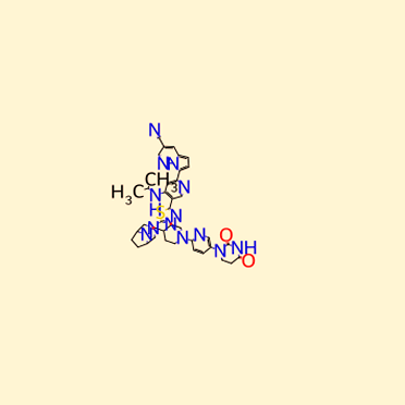 CC(C)Nc1cc(-c2ccc3cc(C#N)cnn23)ncc1-c1nnc(N2CC3CCC(C2)N3CC2CCN(c3ccc(N4CCC(=O)NC4=O)cn3)CC2)s1